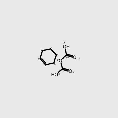 C1=CCCCC1.O=C(O)OC(=O)O